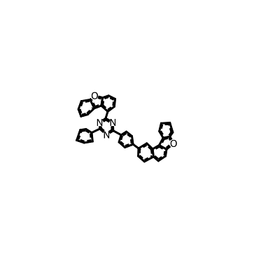 c1ccc(-c2nc(-c3ccc(-c4ccc5ccc6oc7ccccc7c6c5c4)cc3)nc(-c3cccc4oc5ccccc5c34)n2)cc1